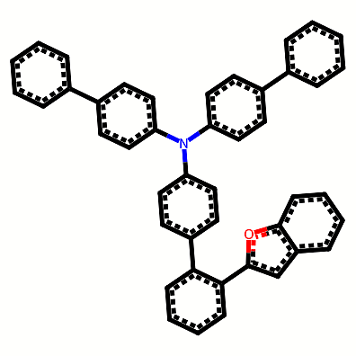 c1ccc(-c2ccc(N(c3ccc(-c4ccccc4)cc3)c3ccc(-c4ccccc4-c4cc5ccccc5o4)cc3)cc2)cc1